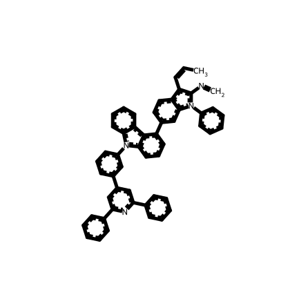 C=Nc1c(/C=C\C)c2ccc(-c3cccc4c3c3ccccc3n4-c3cccc(-c4cc(-c5ccccc5)nc(-c5ccccc5)c4)c3)cc2n1-c1ccccc1